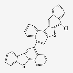 Clc1c2ccccc2cc2c1sc1cc(-c3cc4c5ccccc5sc4c4ccccc34)c3ccccc3c12